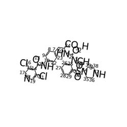 CN(C(=O)N[C@@H](Cc1ccc(NC(=O)c2c(Cl)cncc2Cl)cc1)C(=O)O)c1ccccc1S(=O)(=O)N1CCNCC1